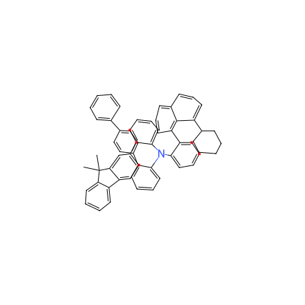 CC1(C)c2ccccc2-c2ccc(-c3ccccc3N(c3ccccc3-c3ccc(-c4ccccc4)cc3)c3ccccc3-c3cccc4cccc(C5CCCCC5)c34)cc21